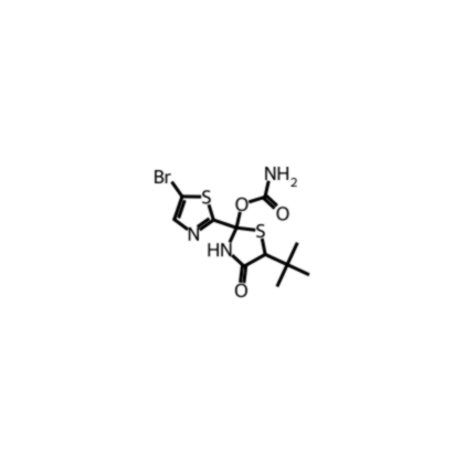 CC(C)(C)C1SC(OC(N)=O)(c2ncc(Br)s2)NC1=O